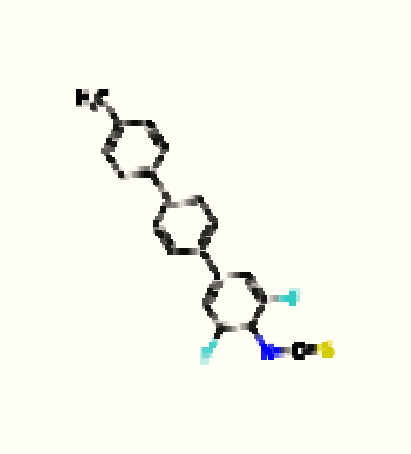 Cc1ccc(-c2ccc(-c3cc(F)c(N=C=S)c(F)c3)cc2)cc1